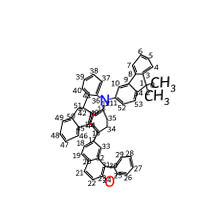 CC1(C)c2ccccc2-c2cc(N(C3=CC=C(c4ccc5ccc6oc7ccccc7c6c5c4)CC3)c3ccccc3-c3ccc4ccccc4c3)ccc21